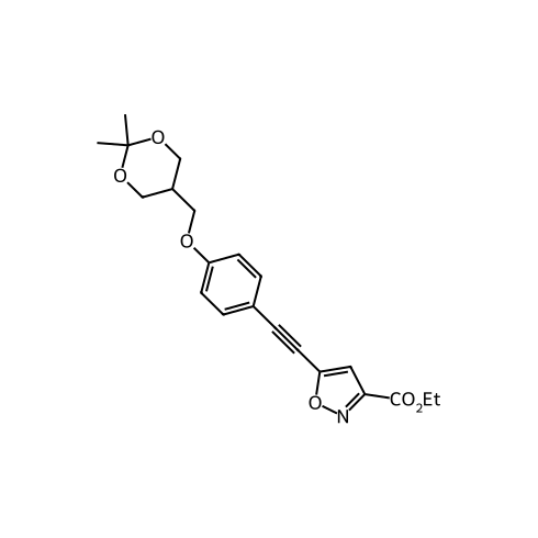 CCOC(=O)c1cc(C#Cc2ccc(OCC3COC(C)(C)OC3)cc2)on1